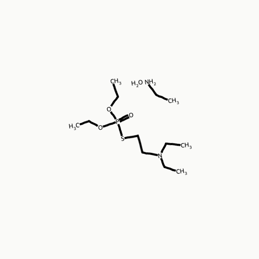 CCN.CCOP(=O)(OCC)SCCN(CC)CC.O